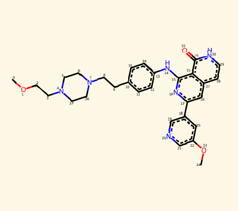 COCCN1CCN(CCc2ccc(Nc3nc(-c4cncc(OC)c4)cc4cc[nH]c(=O)c34)cc2)CC1